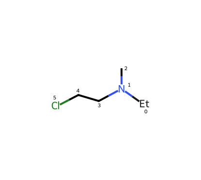 [CH2]CN(C)CCCl